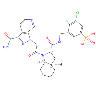 NC(=O)c1nn(CC(=O)N2[C@@H]3CCCC[C@@H]3C[C@H]2C(=O)NCc2cc(P(=O)(O)O)cc(Cl)c2F)c2cnccc12